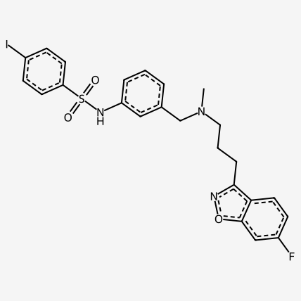 CN(CCCc1noc2cc(F)ccc12)Cc1cccc(NS(=O)(=O)c2ccc(I)cc2)c1